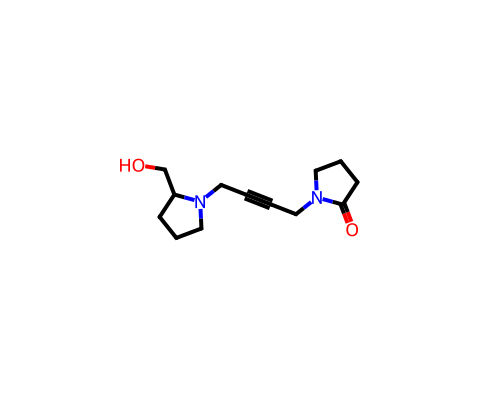 O=C1CCCN1CC#CCN1CCCC1CO